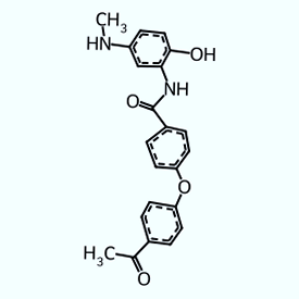 CNc1ccc(O)c(NC(=O)c2ccc(Oc3ccc(C(C)=O)cc3)cc2)c1